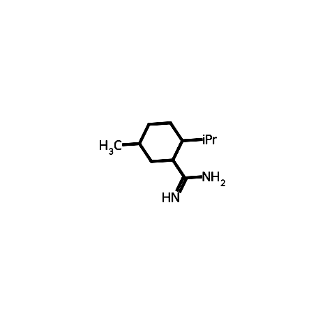 CC1CCC(C(C)C)C(C(=N)N)C1